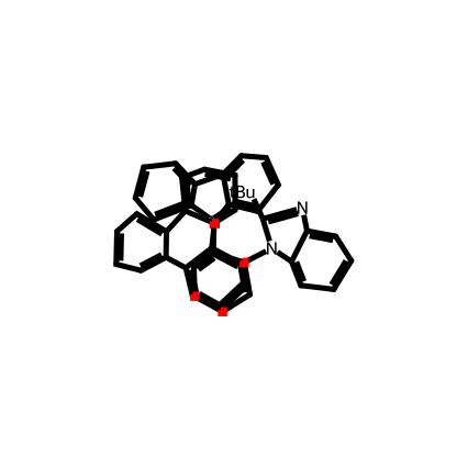 CC(C)(C)c1nc2ccccc2n1-c1ccccc1-c1ccccc1-c1ccccc1-c1ccccc1-n1c2ccccc2c2ccccc21